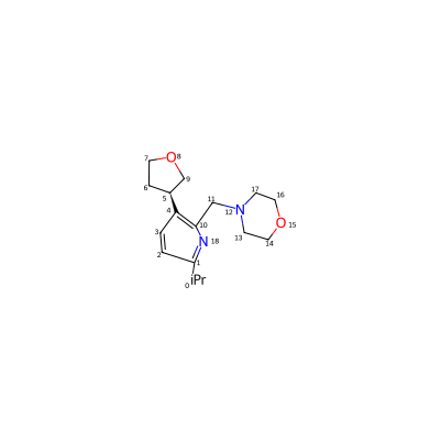 CC(C)c1ccc([C@H]2CCOC2)c(CN2CCOCC2)n1